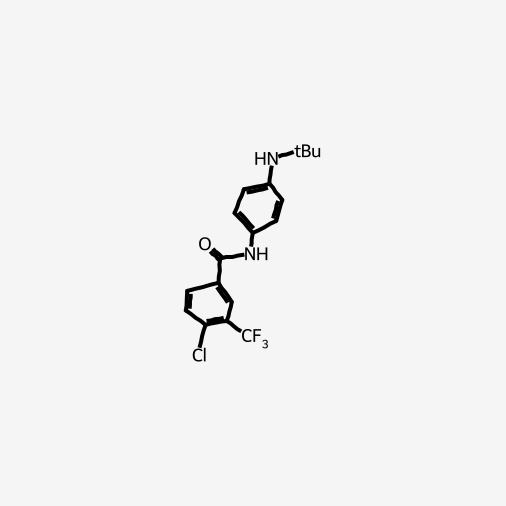 CC(C)(C)Nc1ccc(NC(=O)c2ccc(Cl)c(C(F)(F)F)c2)cc1